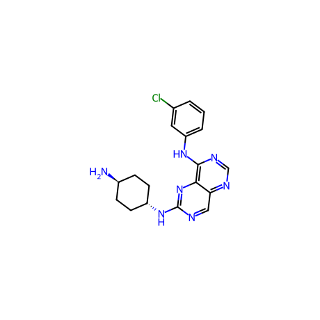 N[C@H]1CC[C@H](Nc2ncc3ncnc(Nc4cccc(Cl)c4)c3n2)CC1